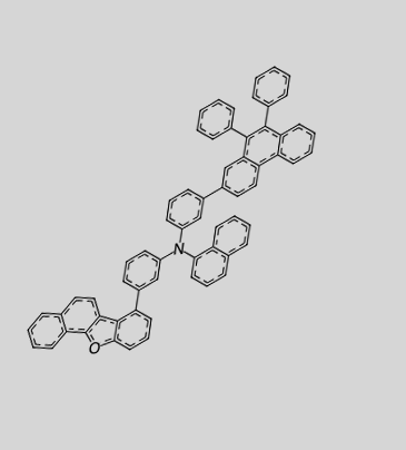 c1ccc(-c2c(-c3ccccc3)c3cc(-c4cccc(N(c5cccc(-c6cccc7oc8c9ccccc9ccc8c67)c5)c5cccc6ccccc56)c4)ccc3c3ccccc23)cc1